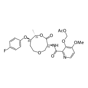 COc1ccnc(C(=O)N[C@H]2COCC[C@@H](Oc3ccc(F)cc3)[C@H](C)OC2=O)c1OCOC(C)=O